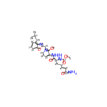 COC(=O)N[C@@H](CC/C=C/C(N)=O)C(=O)Nc1cccn(Cc2nc3c(CC(C)C)cccc3o2)c1=O